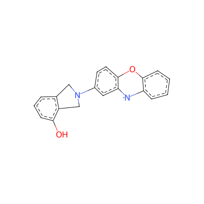 Oc1cccc2c1CN(c1ccc3c(c1)[N]c1ccccc1O3)C2